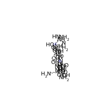 C[C@H](NC(=O)[C@@H](NC(=O)[C@@H](N)CCCCN)[C@@H](O)CN)C(=O)NCC(=O)/N=C(\CCCN)C(=O)N1CCC[C@H]1C(=O)N[C@@H](Cc1ccc(O)cc1)C(=O)N[C@@H](CCCCN)C(=O)N/C(=C\CCNC(=N)N)C(=O)O